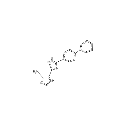 Nc1nc[nH]c1-c1n[nH]c(-c2ccc(-c3ccccc3)cc2)n1